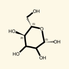 OC[C@@H]1O[C@H](O)C(O)C(O)[C@H]1O